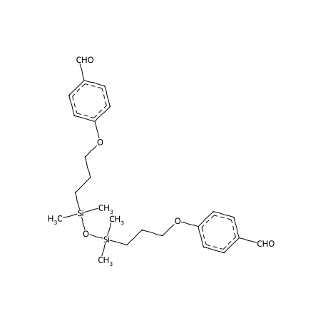 C[Si](C)(CCCOc1ccc(C=O)cc1)O[Si](C)(C)CCCOc1ccc(C=O)cc1